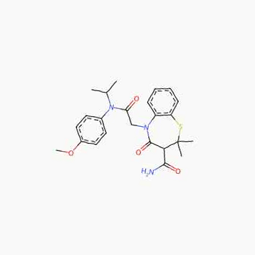 COc1ccc(N(C(=O)CN2C(=O)C(C(N)=O)C(C)(C)Sc3ccccc32)C(C)C)cc1